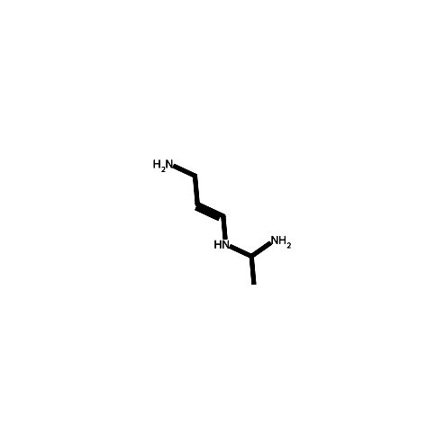 CC(N)NC=CCN